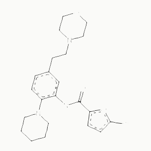 O=C(Nc1cc(CCN2CCOCC2)ccc1N1CCCCC1)c1ccc(Br)o1